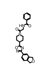 O=C(NCC(=O)N1CCC(c2nc(-c3ccc4c(c3)COC4)no2)CC1)c1ccccc1